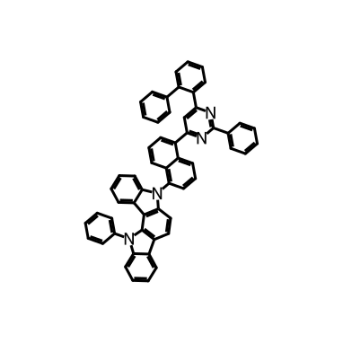 c1ccc(-c2nc(-c3ccccc3-c3ccccc3)cc(-c3cccc4c(-n5c6ccccc6c6c5ccc5c7ccccc7n(-c7ccccc7)c56)cccc34)n2)cc1